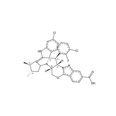 C[C@H]1CC(N2[C@H]3COc4c5ccc(C(=O)O)cc5nn4[C@H]3[C@H](c3cccc(Cl)c3F)[C@]23C(=O)Nc2cc(Cl)ccc23)C[C@@H]1C